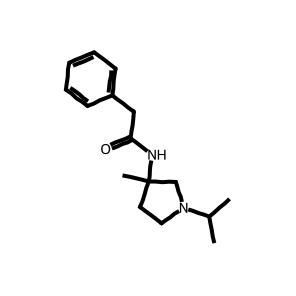 CC(C)N1CCC(C)(NC(=O)Cc2ccccc2)C1